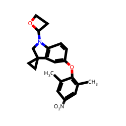 Cc1cc([N+](=O)[O-])cc(C)c1Oc1ccc2c(c1)C1(CC1)CN2C1CCO1